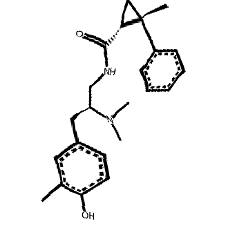 Cc1cc(C[C@@H](CNC(=O)[C@@H]2C[C@]2(C)c2ccccc2)N(C)C)ccc1O